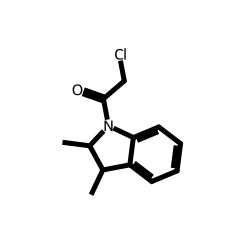 CC1c2ccccc2N(C(=O)CCl)C1C